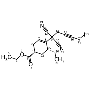 CCOC(=O)[C@H]1CC=C(C(C#N)(C#N)CC#CSI)[C@H](CC)C1